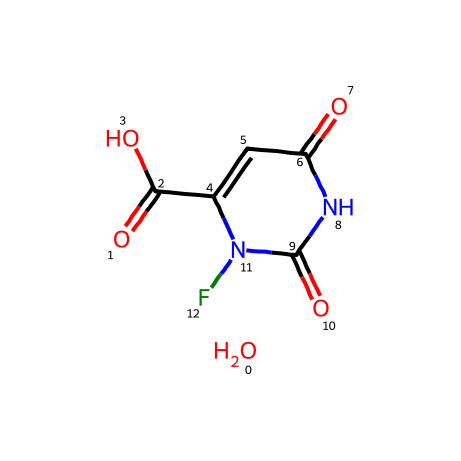 O.O=C(O)c1cc(=O)[nH]c(=O)n1F